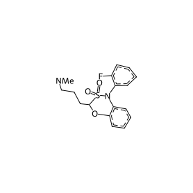 CNCCCC1Oc2ccccc2N(c2ccccc2F)S1(=O)=O